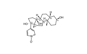 C[C@]12CC[C@H](O)C[C@H]1CC[C@@H]1[C@@H]2CC[C@]2(C)[C@@](O)(c3cc[n+]([O-])cc3)CC[C@]12O